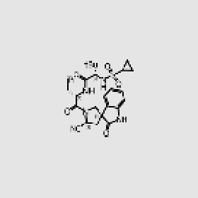 CC(C)C[C@H](NC(=O)[C@@H](NS(=O)(=O)C1CC1)C(C)(C)C)C(=O)N1C[C@]2(C[C@H]1C#N)C(=O)Nc1ccccc12